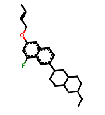 CC=CCOc1cc(F)c2cc(C3CCC4CC(CC)CCC4C3)ccc2c1